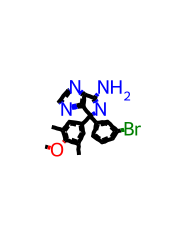 COc1c(C)cc(C2(c3cccc(Br)c3)N=C(N)c3nccnc32)cc1C